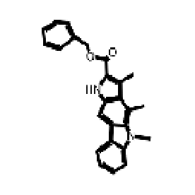 Cc1c(C(=O)OCc2ccccc2)[nH]c2cc3c4ccccc4n(C)c3c(C)c12